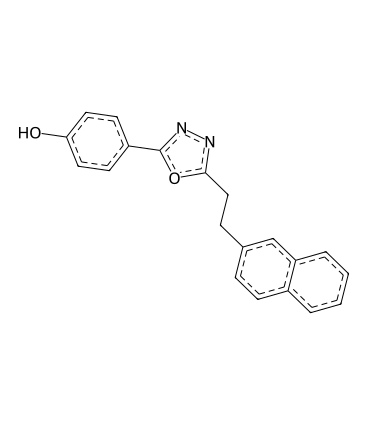 Oc1ccc(-c2nnc(CCc3ccc4ccccc4c3)o2)cc1